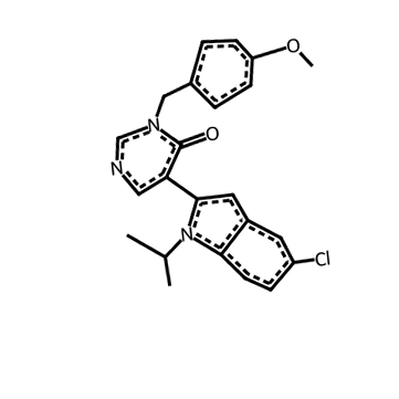 COc1ccc(Cn2cncc(-c3cc4cc(Cl)ccc4n3C(C)C)c2=O)cc1